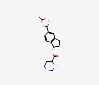 CCC1NC(c2ccc3c(c2)CC[C@H]3NC(=O)C2CCNCN2)NO1